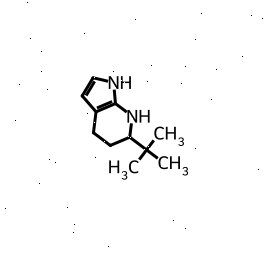 CC(C)(C)C1CCc2cc[nH]c2N1